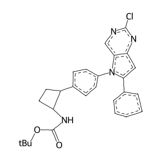 CC(C)(C)OC(=O)NC1CCC1c1ccc(-n2c(-c3ccccc3)cc3nc(Cl)ncc32)cc1